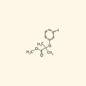 COC(=O)C(C)(C)Oc1cccc(I)c1